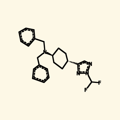 FC(F)n1ncc([C@H]2CC[C@H](N(Cc3ccccc3)Cc3ccccc3)CC2)n1